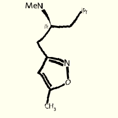 CN[C@H](Cc1cc(C)on1)CC(C)C